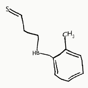 Cc1ccccc1BCCC=S